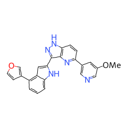 COc1cncc(-c2ccc3[nH]nc(-c4cc5c(-c6ccoc6)cccc5[nH]4)c3n2)c1